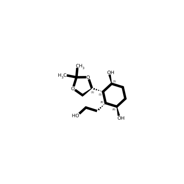 CC1(C)OC[C@H]([C@H]2[C@@H](CCO)[C@H](O)CC[C@@H]2O)O1